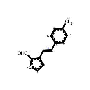 O=Cc1sccc1/C=C/c1ccc(C(F)(F)F)cc1